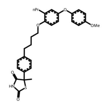 CCCc1cc(Oc2ccc(OC)cc2)ccc1OCCCCc1ccc(C2(C)SC(=O)NC2=O)cc1